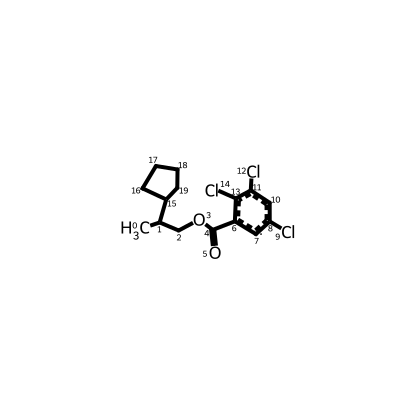 CC(COC(=O)c1[c]c(Cl)cc(Cl)c1Cl)C1CCCC1